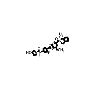 CCc1cc(C(=O)N2CCc3ccccc3[C@H]2C)nc2oc(-c3ccc(NC(=O)N4CC[C@@H](O)C4)cc3F)nc12